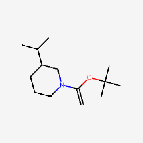 C=C(OC(C)(C)C)N1CCCC(C(C)C)C1